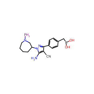 N#Cc1c(-c2ccc(CB(O)O)cc2)nn(C2CCCCN(P)C2)c1N